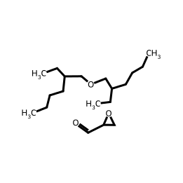 CCCCC(CC)COCC(CC)CCCC.O=CC1CO1